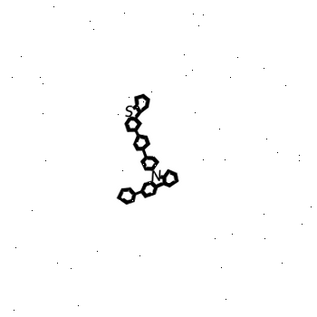 c1ccc(-c2ccc3c4ccccc4n(-c4ccc(-c5ccc(-c6ccc7sc8ccccc8c7c6)cc5)cc4)c3c2)cc1